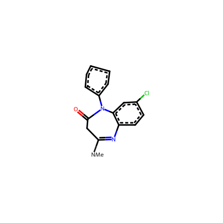 CNC1=Nc2ccc(Cl)cc2N(c2ccccc2)C(=O)C1